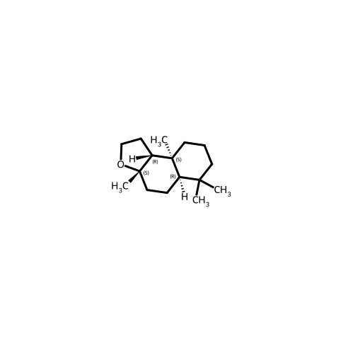 CC1(C)CCC[C@@]2(C)[C@@H]1CC[C@]1(C)OCC[C@H]21